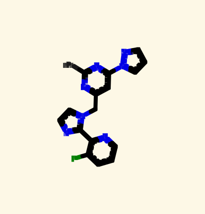 CCCc1nc(Cn2ccnc2-c2ncccc2F)cc(-n2cccn2)n1